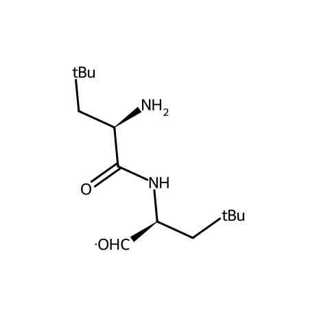 CC(C)(C)C[C@@H]([C]=O)NC(=O)[C@H](N)CC(C)(C)C